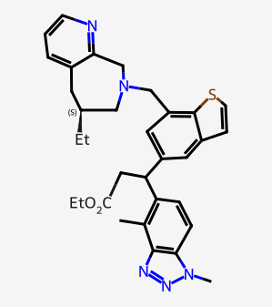 CCOC(=O)CC(c1cc(CN2Cc3ncccc3C[C@H](CC)C2)c2sccc2c1)c1ccc2c(nnn2C)c1C